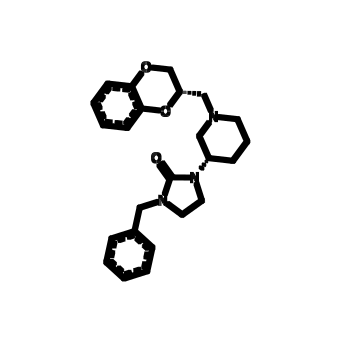 O=C1N(Cc2ccccc2)CCN1[C@H]1CCCN(C[C@H]2COc3ccccc3O2)C1